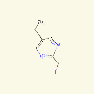 CCc1cnc(CI)nc1